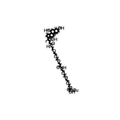 C[C@H](CCC(=O)NCCOCCOCCOCCC(=O)NCCOCCOCCOCCOP(=O)(O)C(C)(C)C)C1CCC2C3C(C[C@H](O)[C@@]21C)[C@@]1(C)CC[C@@H](O)CC1C[C@H]3O